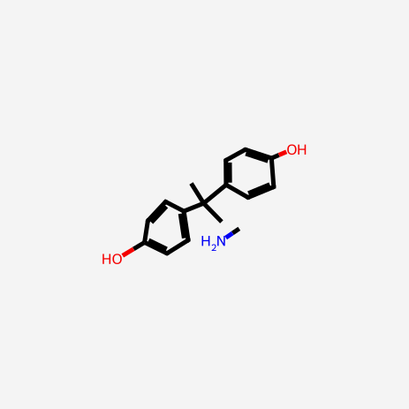 CC(C)(c1ccc(O)cc1)c1ccc(O)cc1.CN